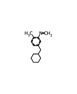 C=Nc1cc(CC2CCCCC2)ccc1C